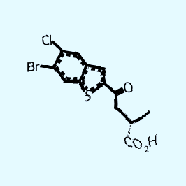 C[C@@H](CC(=O)c1cc2cc(Cl)c(Br)cc2s1)C(=O)O